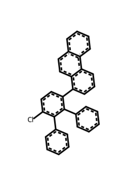 Clc1ccc(-c2cccc3c2ccc2ccccc23)c(-c2ccccc2)c1-c1ccccc1